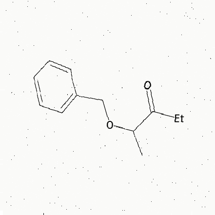 CCC(=O)C(C)OCc1ccccc1